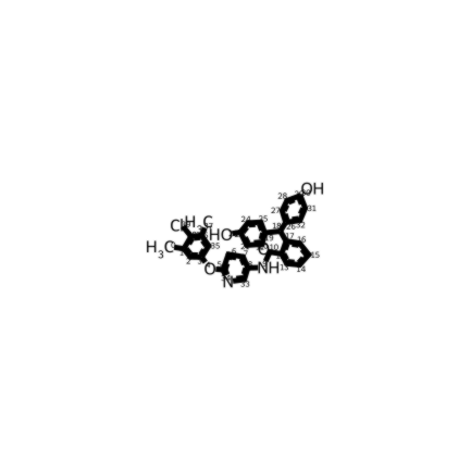 Cc1cc(Oc2ccc(NC(=O)c3ccccc3C(c3ccc(O)cc3)c3ccc(O)cc3)cn2)cc(C)c1Cl